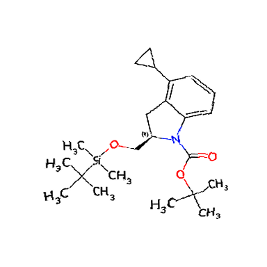 CC(C)(C)OC(=O)N1c2cccc(C3CC3)c2C[C@@H]1CO[Si](C)(C)C(C)(C)C